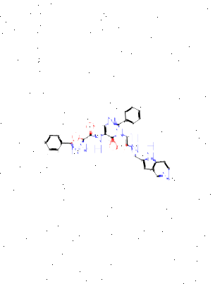 O=C(Cn1c(-c2ccccc2)ncc(NC(=O)c2nnc(-c3ccccc3)o2)c1=O)NCc1cc2cnccc2[nH]1